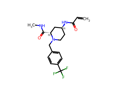 C=CC(=O)N[C@H]1CCN(Cc2ccc(C(F)(F)F)cc2)[C@H](C(=O)NC)C1